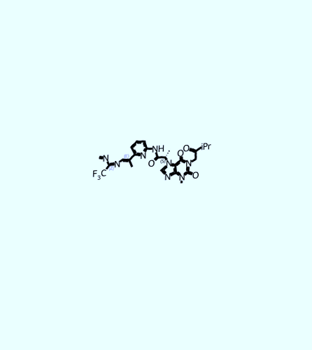 C=N/C(=N\C=C(/C)c1cccc(NC(=O)[C@H](C)n2cnc3c2c(=O)n(CC(=O)C(C)C)c(=O)n3C)n1)C(F)(F)F